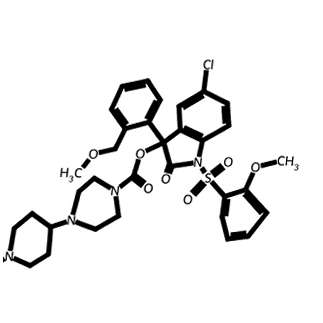 COCc1ccccc1C1(OC(=O)N2CCN(C3CCN(C)CC3)CC2)C(=O)N(S(=O)(=O)c2ccccc2OC)c2ccc(Cl)cc21